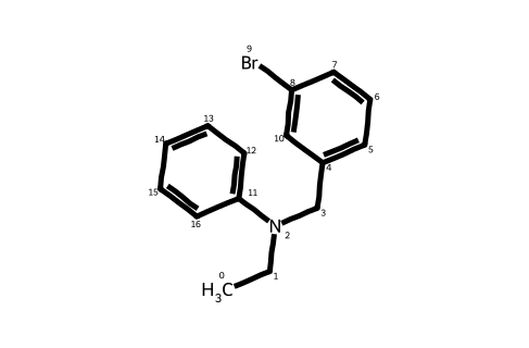 CCN(Cc1cccc(Br)c1)c1ccccc1